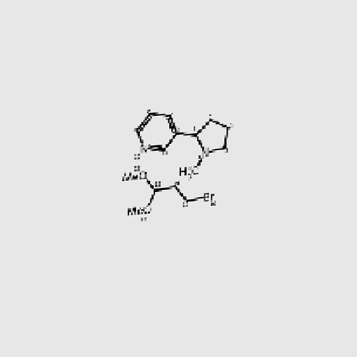 CN1CCCC1c1cccnc1.COC(CCBr)OC